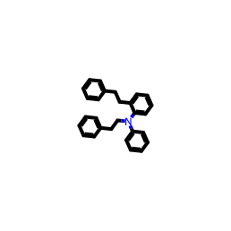 c1ccc(CCc2ccccc2N(CCc2ccccc2)c2ccccc2)cc1